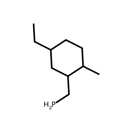 CCC1CCC(C)C(CP)C1